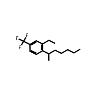 CCCCCC(C)c1ccc(C(F)(F)F)cc1CC